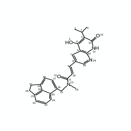 CC(C)c1c(O)c2cc(/C=C/C(=O)N(C)Cc3ccc4c5c(cccc35)CC4)cnc2[nH]c1=O